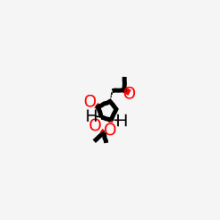 CC(=O)C[C@@H]1C[C@H]2OC(C)(C)O[C@H]2C1=O